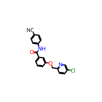 N#Cc1ccc(NC(=O)c2cccc(OCc3ccc(Cl)cn3)c2)cc1